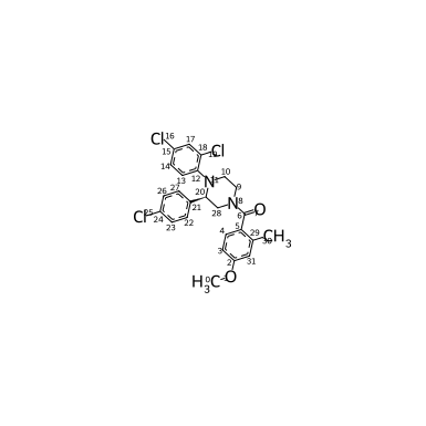 COc1ccc(C(=O)N2CCN(c3ccc(Cl)cc3Cl)[C@H](c3ccc(Cl)cc3)C2)c(C)c1